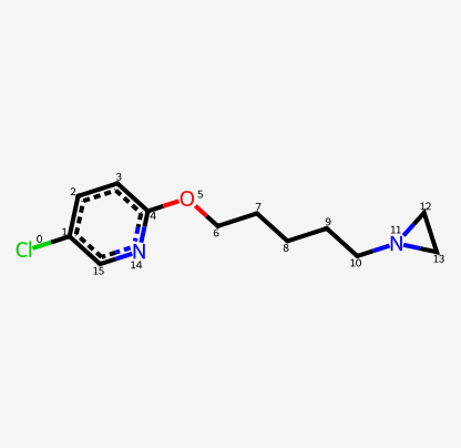 Clc1ccc(OCCCCCN2CC2)nc1